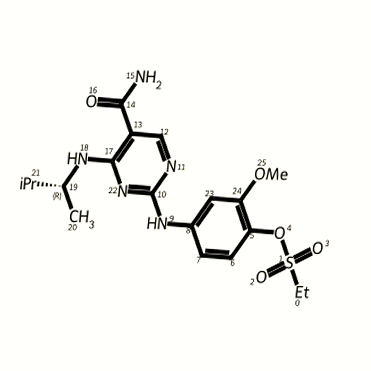 CCS(=O)(=O)Oc1ccc(Nc2ncc(C(N)=O)c(N[C@H](C)C(C)C)n2)cc1OC